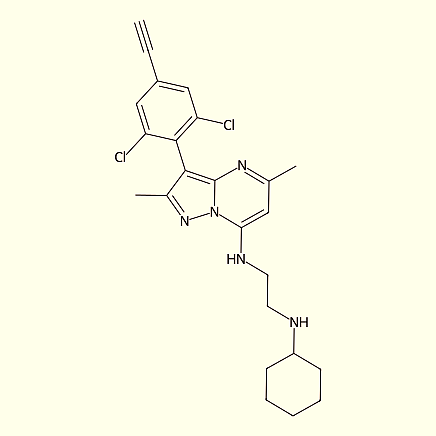 C#Cc1cc(Cl)c(-c2c(C)nn3c(NCCNC4CCCCC4)cc(C)nc23)c(Cl)c1